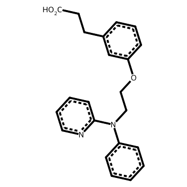 O=C(O)CCc1cccc(OCCN(c2ccccc2)c2ccccn2)c1